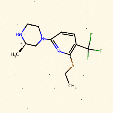 CCSc1nc(N2CCN[C@H](C)C2)ccc1C(F)(F)F